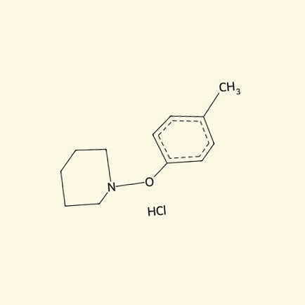 Cc1ccc(ON2CCCCC2)cc1.Cl